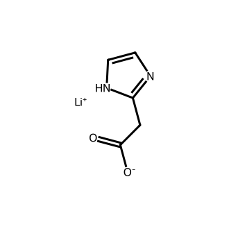 O=C([O-])Cc1ncc[nH]1.[Li+]